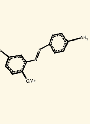 COc1ccc(Cl)cc1/N=N/c1ccc(N)cc1